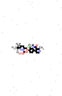 Cc1nccc2c1c(=O)n(C)c1c(Cl)c(OCC(CC(C)CC(C)(C)C)NC(=O)O)ccc21